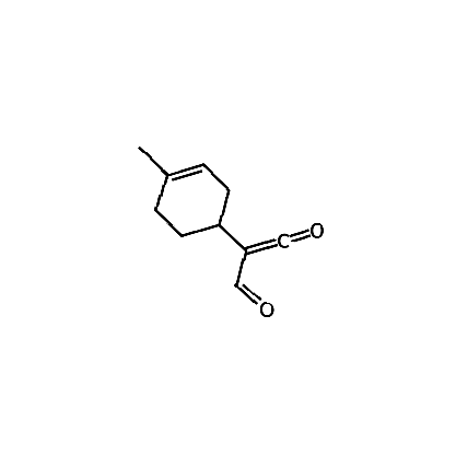 CC1=CCC(C(=C=O)C=O)CC1